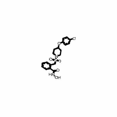 O=C(NO)c1ccccc1CS(=O)(=O)N1CCC(Oc2ccc(Cl)cc2)CC1